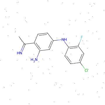 CC(=N)c1ccc(Nc2ccc(Cl)cc2F)cc1N